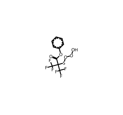 O=C(Oc1ccccc1)C(SOOO)(C(F)(F)F)C(F)(F)F